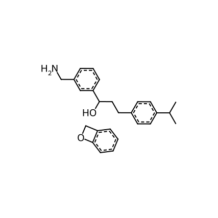 CC(C)c1ccc(CCC(O)c2cccc(CN)c2)cc1.c1ccc2c(c1)CO2